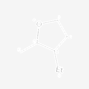 CCC1CCOC1C